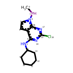 CPn1ccc2c(NC3CCCCC3)nc(Cl)nc21